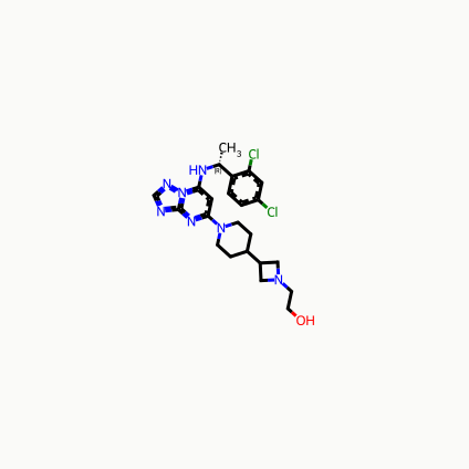 C[C@@H](Nc1cc(N2CCC(C3CN(CCO)C3)CC2)nc2ncnn12)c1ccc(Cl)cc1Cl